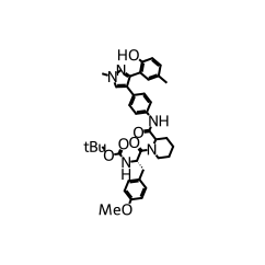 COc1ccc(C[C@H](NC(=O)OC(C)(C)C)C(=O)N2CCCCC2C(=O)Nc2ccc(-c3cn(C)nc3-c3cc(C)ccc3O)cc2)cc1